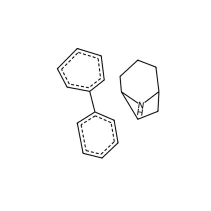 C1CC2CCC(C1)N2.c1ccc(-c2ccccc2)cc1